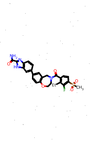 CCc1c(C(=O)N2CCOc3ccc(-c4ccc5nc(C(N)=O)[nH]c5c4)cc3C2)ccc(S(C)(=O)=O)c1F